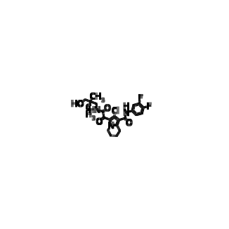 CC(C)(CO)CNC(=O)C(=O)c1c(Cl)c(C(=O)Nc2ccc(F)c(F)c2)c2n1CCCC2